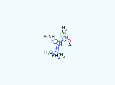 CC(=O)Nc1cc2c(cn1)c(N1C[C@@H](C)[C@H](N(C)C)C1)nn2-c1cc(OC2CC2)nc(C(C)(F)F)n1